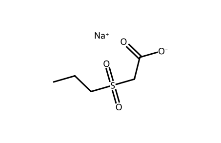 CCCS(=O)(=O)CC(=O)[O-].[Na+]